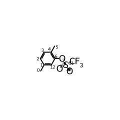 Cc1ccc(C)c(OS(=O)(=O)C(F)(F)F)c1